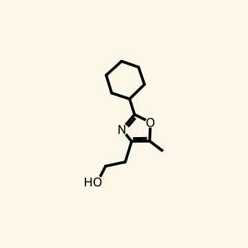 Cc1oc(C2CCCCC2)nc1CCO